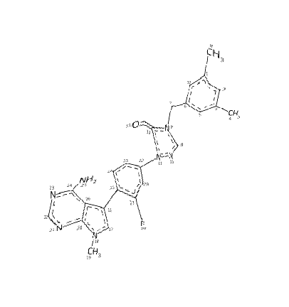 Cc1cc(C)cc(Cn2cnn(-c3ccc(-c4cn(C)c5ncnc(N)c45)c(F)c3)c2=O)c1